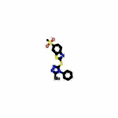 CC(C)(C)c1nnc(Sc2nc3ccc(S(C)(=O)=O)cc3s2)n1-c1ccccc1